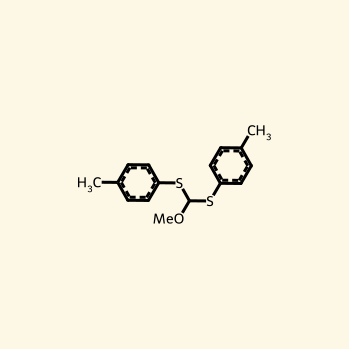 COC(Sc1ccc(C)cc1)Sc1ccc(C)cc1